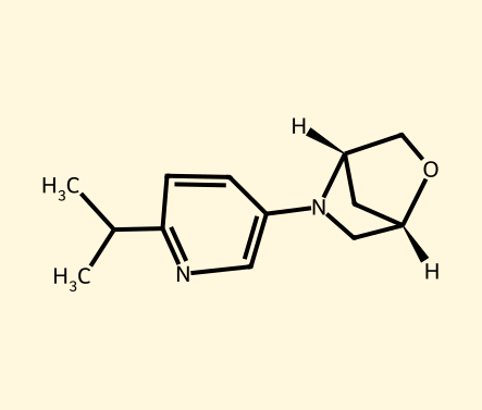 CC(C)c1ccc(N2C[C@@H]3C[C@H]2CO3)cn1